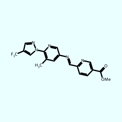 COC(=O)c1ccc(C=Nc2cnc(-n3cc(C(F)(F)F)cn3)c(C)c2)nc1